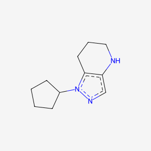 c1nn(C2CCCC2)c2c1NCCC2